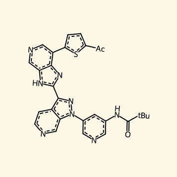 CC(=O)c1ccc(-c2cncc3[nH]c(-c4nn(-c5cncc(NC(=O)C(C)(C)C)c5)c5cnccc45)nc23)s1